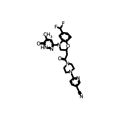 Cc1cc(N2CC(CC(=O)N3CCN(c4ccc(C#N)cn4)CC3)Oc3ccc(C(F)F)cc32)n[nH]c1=O